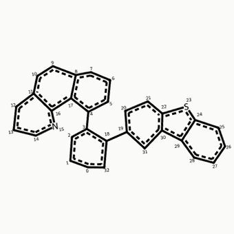 c1ccc(-c2cccc3ccc4cccnc4c23)c(-c2ccc3sc4ccccc4c3c2)c1